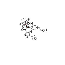 O=C(NC1C[C@H]2CC[C@@H](C1)N2S(=O)(=O)CC1[C@H]2CN(CCO)C[C@@H]12)c1cc(C2COC2)on1